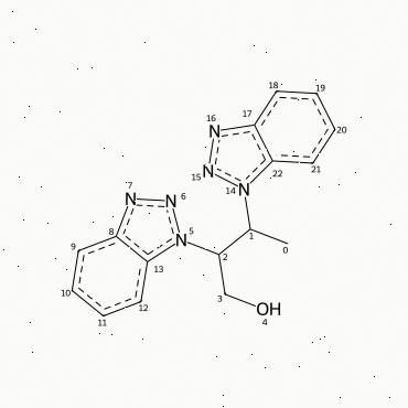 CC(C(CO)n1nnc2ccccc21)n1nnc2ccccc21